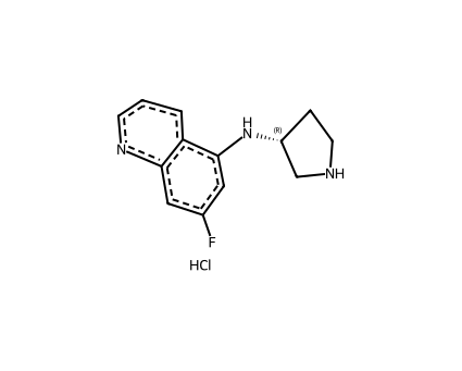 Cl.Fc1cc(N[C@@H]2CCNC2)c2cccnc2c1